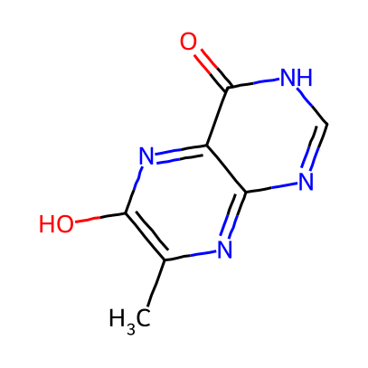 Cc1nc2nc[nH]c(=O)c2nc1O